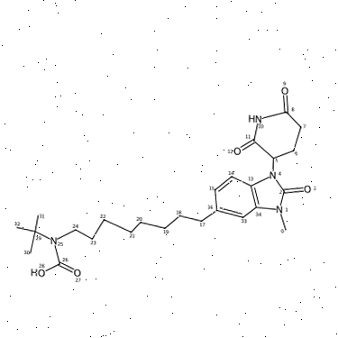 Cn1c(=O)n(C2CCC(=O)NC2=O)c2ccc(CCCCCCCCN(C(=O)O)C(C)(C)C)cc21